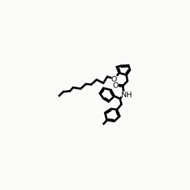 CCCCCCCCCCOc1ccccc1CC(=O)NC(Cc1ccc(C)cc1)c1ccccc1